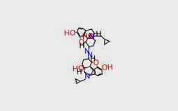 Oc1ccc2c3c1O[C@H]1/C(=N/N=C4\CC[C@@]5(O)[C@H]6Cc7ccc(O)c8c7[C@@]5(CCN6CC5CC5)[C@H]4O8)CC[C@@]4(O)[C@@H](C2)N(CC2CC2)CC[C@]314